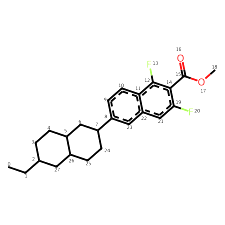 CCC1CCC2CC(c3ccc4c(F)c(C(=O)OC)c(F)cc4c3)CCC2C1